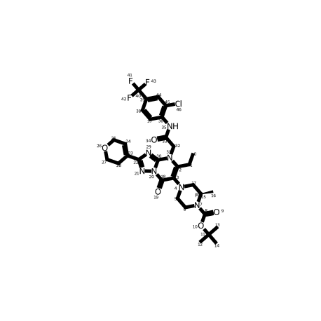 CCc1c(N2CCN(C(=O)OC(C)(C)C)[C@H](C)C2)c(=O)n2nc(C3=CCOCC3)nc2n1CC(=O)Nc1ccc(C(F)(F)F)cc1Cl